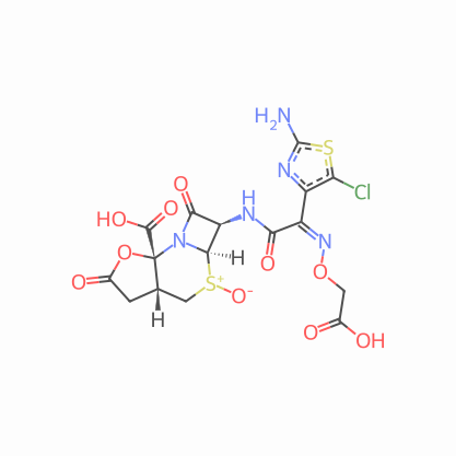 Nc1nc(/C(=N/OCC(=O)O)C(=O)N[C@@H]2C(=O)N3[C@@H]2[S+]([O-])C[C@@H]2CC(=O)O[C@@]23C(=O)O)c(Cl)s1